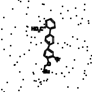 CCC(C)COc1ccc(-c2ccc(-c3ccccc3C(=O)O)cc2)cc1Br